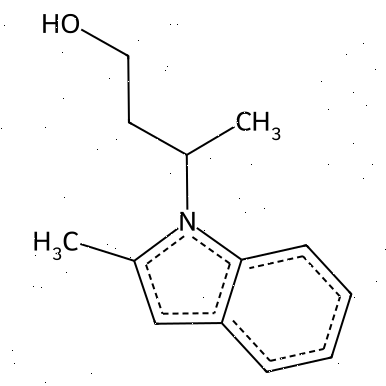 Cc1cc2ccccc2n1C(C)CCO